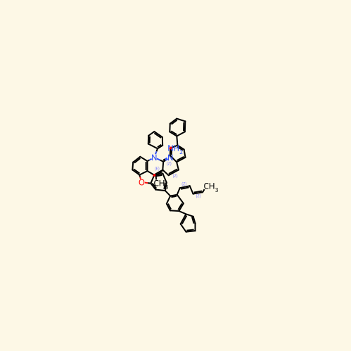 C/C=C\C=C/c1cc(-c2ccccc2)ccc1-c1ccc2c(c1)oc1cccc(N(C(=N\N)/C(/C=C\c3ccc(-c4ccccc4)cc3)=C/C)c3ccccc3)c12